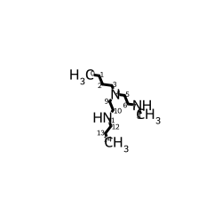 CCCCN(CCNC)CCNCCC